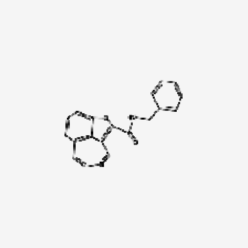 O=C(NCc1ccccc1)c1oc2cccc3c2c1C=NC=C3